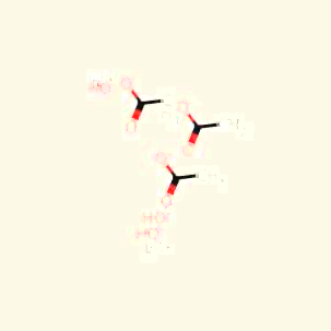 CC(=O)[O-].CC(=O)[O-].CC(=O)[O-].[In+3].[In+3].[OH-].[OH-].[OH-]